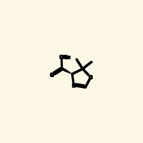 COC(=O)[C@H]1N=COC1(C)C